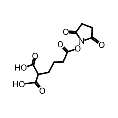 O=C(CCCC(C(=O)O)C(=O)O)ON1C(=O)CCC1=O